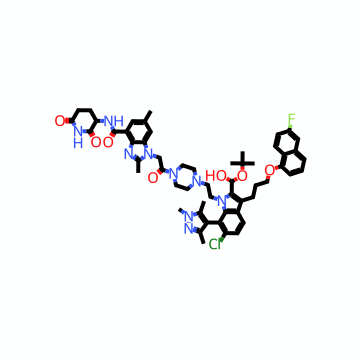 Cc1cc(C(=O)NC2CCC(=O)NC2=O)c2nc(C)n(CC(=O)N3CCN(CCn4c(C(O)OC(C)(C)C)c(CCCOc5cccc6cc(F)ccc56)c5ccc(Cl)c(-c6c(C)nn(C)c6C)c54)CC3)c2c1